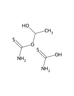 CC(O)OC(N)=S.NC(O)=S